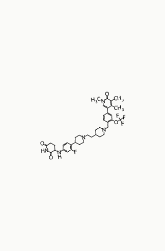 Cc1c(-c2ccc(CN3CCC(CCN4CCC(c5ccc(NC6CCC(=O)NC6=O)cc5F)CC4)CC3)c(OC(F)(F)F)c2)cn(C)c(=O)c1C